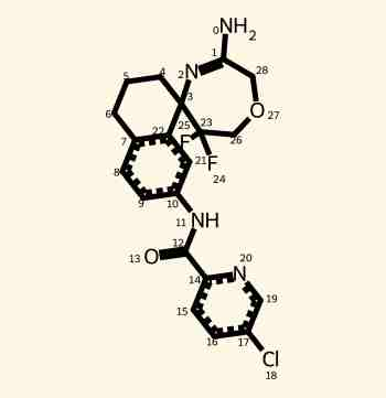 NC1=NC2(CCCc3ccc(NC(=O)c4ccc(Cl)cn4)cc32)C(F)(F)COC1